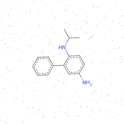 CC(C)Nc1ccc(N)cc1-c1ccccc1